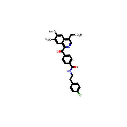 COc1cc2c(CC(=O)O)cnc(C(=O)c3ccc(C(=O)NCCc4ccc(Cl)cc4)cc3)c2cc1OC